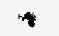 Cc1cc(C)c(Cc2csc(N3CCC(S(=O)(=O)c4cccc(F)c4)CC3)n2)c(C)c1